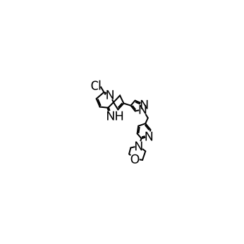 N=C1C=CC(Cl)=NC12C=C(c1cnn(Cc3ccc(N4CCOCC4)nc3)c1)C2